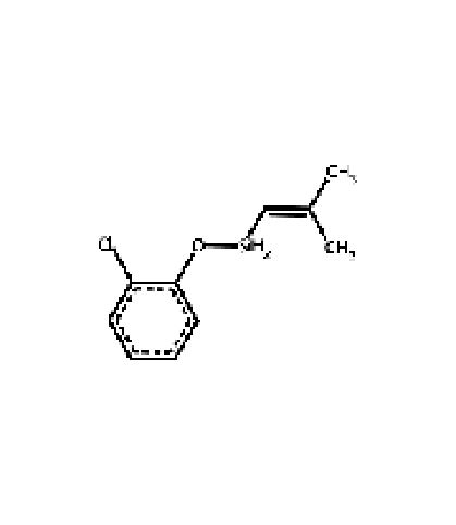 CC(C)=C[SiH2]Oc1ccccc1Cl